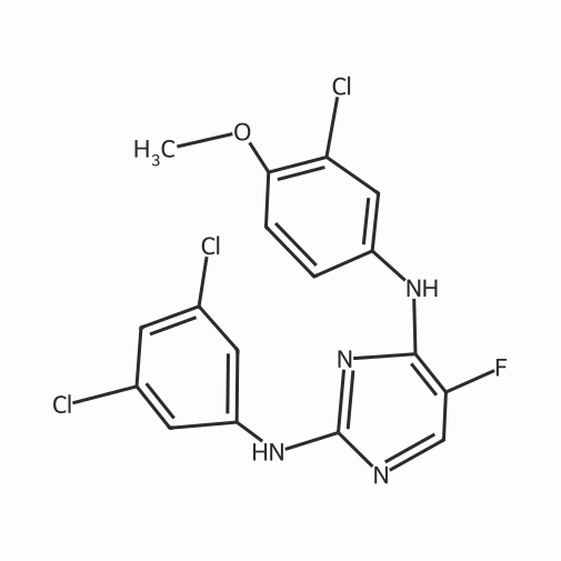 COc1ccc(Nc2nc(Nc3cc(Cl)cc(Cl)c3)ncc2F)cc1Cl